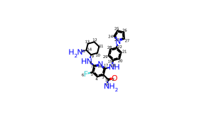 NC(=O)c1cc(F)c(N[C@@H]2CCCC[C@@H]2N)nc1Nc1ccc(-n2cccc2)cc1